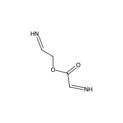 N=CCOC(=O)C=N